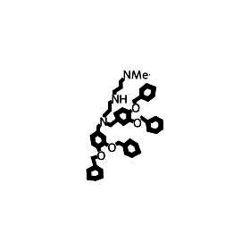 C[N]CCCNCCCN(Cc1ccc(OCc2ccccc2)c(OCc2ccccc2)c1)Cc1ccc(OCc2ccccc2)c(OCc2ccccc2)c1